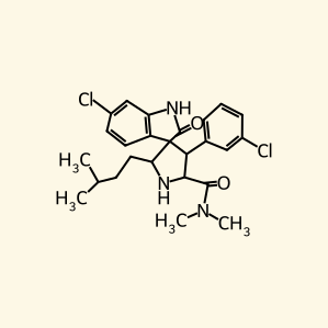 CC(C)CCC1NC(C(=O)N(C)C)C(c2cccc(Cl)c2)C12C(=O)Nc1cc(Cl)ccc12